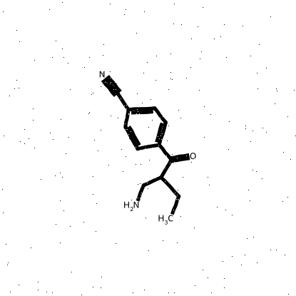 CCC(CN)C(=O)c1ccc(C#N)cc1